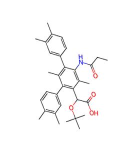 CCC(=O)Nc1c(C)c(C(OC(C)(C)C)C(=O)O)c(-c2ccc(C)c(C)c2)c(C)c1-c1ccc(C)c(C)c1